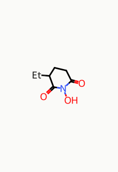 CCC1CCC(=O)N(O)C1=O